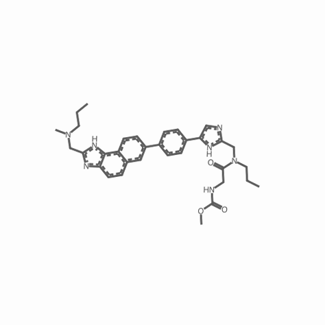 CCCN(C)Cc1nc2ccc3cc(-c4ccc(-c5cnc(CN(CCC)C(=O)CNC(=O)OC)[nH]5)cc4)ccc3c2[nH]1